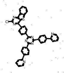 Clc1nc(-c2ccc(-c3nc(-c4ccc(-c5ccccn5)cc4)nc(-c4ccc(-c5ccccn5)cc4)n3)cc2)c2sc3ccccc3c2n1